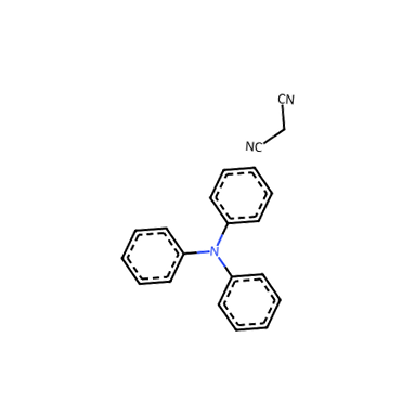 N#CCC#N.c1ccc(N(c2ccccc2)c2ccccc2)cc1